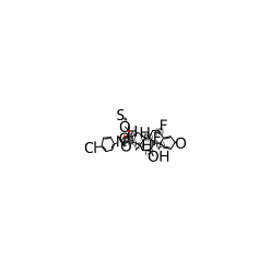 C[C@]12C=CC(=O)C=C1[C@@H](F)C[C@H]1[C@@H]3C[C@H]4CN(c5ccc(Cl)cc5)O[C@@]4(C(=O)COC=S)[C@@]3(C)C[C@H](O)[C@@]12F